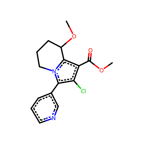 COC(=O)c1c(Cl)c(-c2cccnc2)n2c1C(OC)CCC2